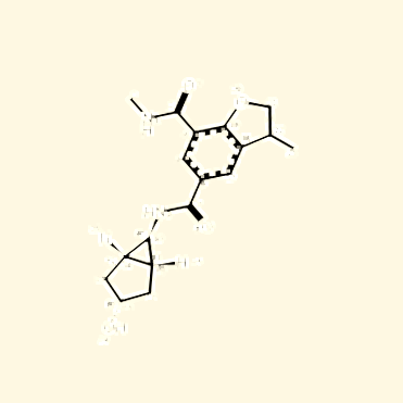 CNC(=O)c1cc(C(=O)N[C@H]2[C@@H]3C[C@H](O)C[C@@H]32)cc2c1OCC2C